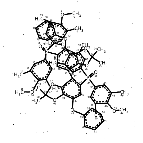 COc1c(C)cc(P(=O)(c2cc(C)c(OC)c(C)c2)c2cc(-c3c(P(=O)(c4cc(C)c(OC)c(C)c4)c4cc(C)c(OC)c(C)c4)cc(Oc4ccccc4)c4c3OC(C)(C)O4)c3c(c2Oc2ccccc2)OC(C)(C)O3)cc1C